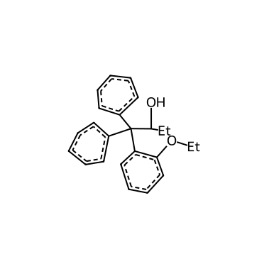 CCOc1ccccc1C(c1ccccc1)(c1ccccc1)C(O)CC